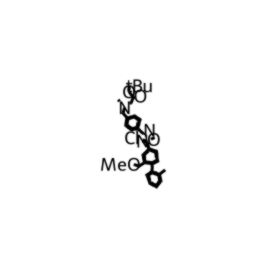 COCc1cc(-c2nc(-c3ccc(CN(C)CC(=O)OC(C)(C)C)cc3Cl)no2)ccc1-c1ccccc1C